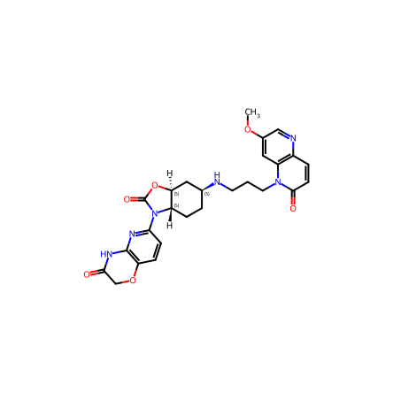 COc1cnc2ccc(=O)n(CCCN[C@H]3CC[C@H]4[C@H](C3)OC(=O)N4c3ccc4c(n3)NC(=O)CO4)c2c1